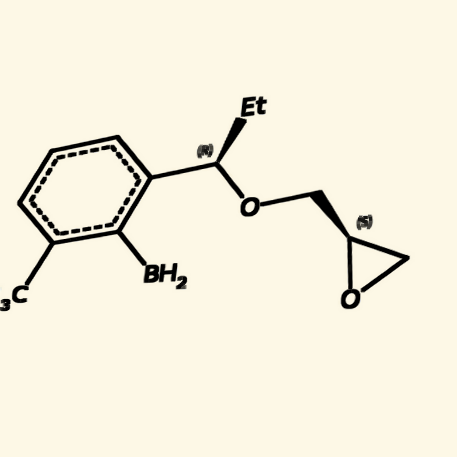 Bc1c(C)cccc1[C@@H](CC)OC[C@H]1CO1